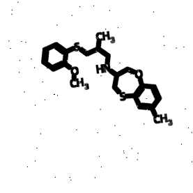 COc1ccccc1SCC(C)CNC1COc2ccc(C)cc2SC1